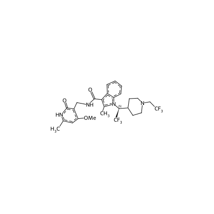 COc1cc(C)[nH]c(=O)c1CNC(=O)c1c(C)n([C@@H](C2CCN(CC(F)(F)F)CC2)C(F)(F)F)c2ccccc12